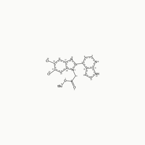 CC(C)(C)OC(=O)Cn1c(-c2ccnc3[nH]ccc23)nc2cc(Cl)c(Cl)cc21